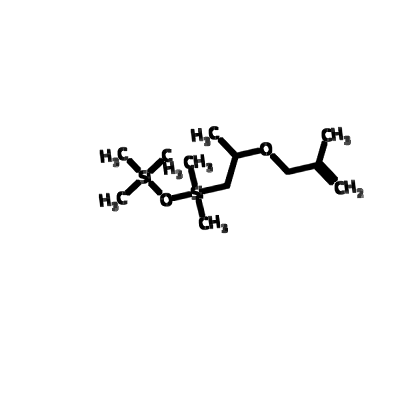 C=C(C)COC(C)C[Si](C)(C)O[Si](C)(C)C